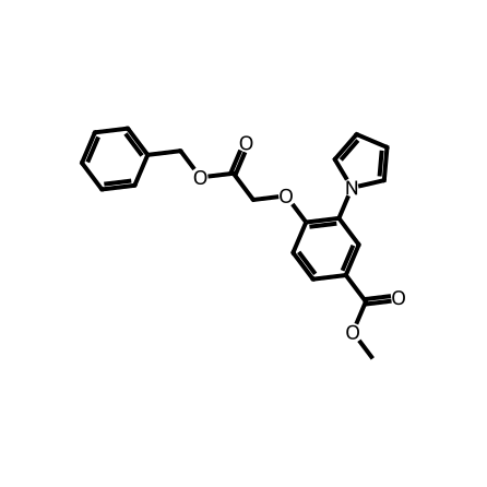 COC(=O)c1ccc(OCC(=O)OCc2ccccc2)c(-n2cccc2)c1